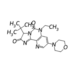 CCN1C(=O)N2C(=NC(=O)C2C(C)(C)C)c2ncc(N3CCOCC3)cc21